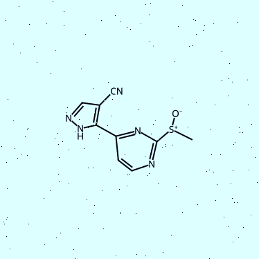 C[S+]([O-])c1nccc(-c2[nH]ncc2C#N)n1